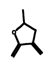 C=C1CC(C)OC1=C